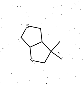 CC1(C)CSC2CSCC21